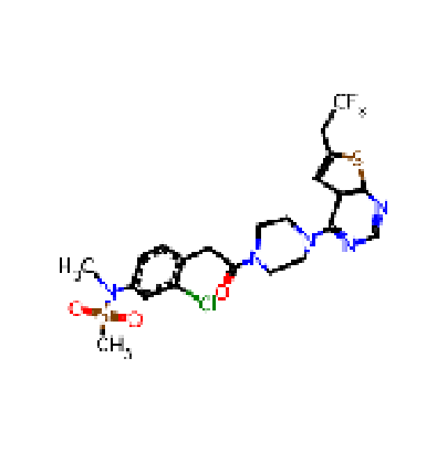 CN(c1ccc(CC(=O)N2CCN(C3=NC=NC4SC(CC(F)(F)F)=CC34)CC2)c(Cl)c1)S(C)(=O)=O